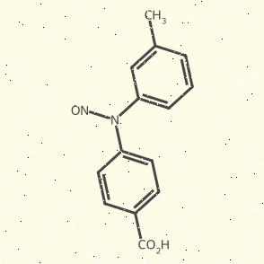 Cc1cccc(N(N=O)c2ccc(C(=O)O)cc2)c1